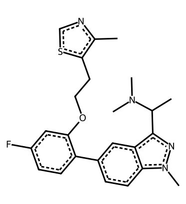 Cc1ncsc1CCOc1cc(F)ccc1-c1ccc2c(c1)c(C(C)N(C)C)nn2C